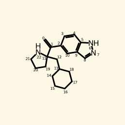 C=C(c1ccc2[nH]ncc2c1)C1(CC2CCCCC2)CCCN1